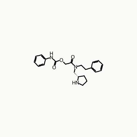 O=C(Nc1ccccc1)OCC(=O)N(CCc1ccccc1)C[C@@H]1CCCN1